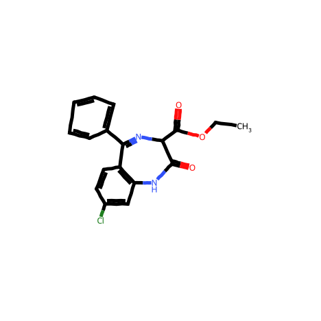 CCOC(=O)C1N=C(c2ccccc2)c2ccc(Cl)cc2NC1=O